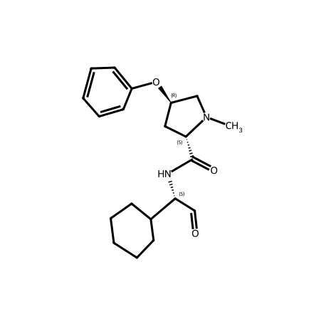 CN1C[C@H](Oc2ccccc2)C[C@H]1C(=O)N[C@H](C=O)C1CCCCC1